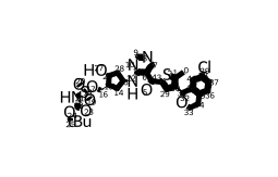 Cc1sc(C(=O)c2cncnc2N[C@@H]2C[C@H](COS(=O)(=O)NC(=O)OC(C)(C)C)[C@@H](O)C2)cc1[C@@H]1OCCc2ccc(Cl)cc21